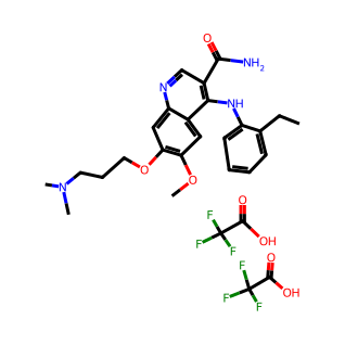 CCc1ccccc1Nc1c(C(N)=O)cnc2cc(OCCCN(C)C)c(OC)cc12.O=C(O)C(F)(F)F.O=C(O)C(F)(F)F